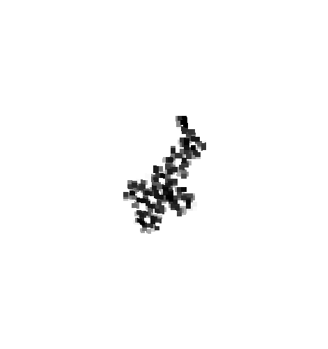 N#Cc1ccnc(-c2ccc(-c3ccc4c5c6ccccc6c(-c6ccccc6)cc5n(-c5ccccc5)c4c3)cc2)c1